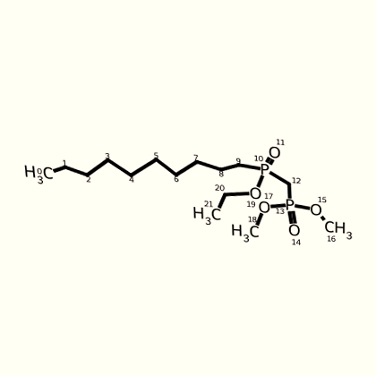 CCCCCCCCCCP(=O)(CP(=O)(OC)OC)OCC